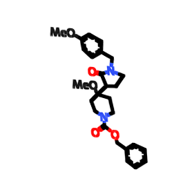 COc1ccc(CN2CCC(C3(OC)CCN(C(=O)OCc4ccccc4)CC3)C2=O)cc1